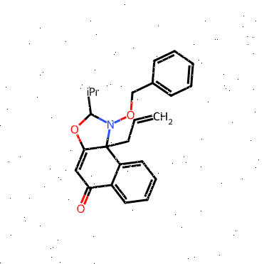 C=CCC12C(=CC(=O)c3ccccc31)OC(C(C)C)N2OCc1ccccc1